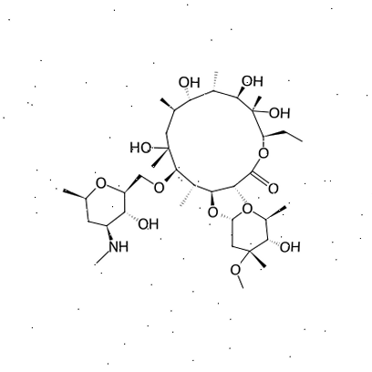 CC[C@H]1OC(=O)[C@H](C)[C@@H](O[C@H]2C[C@@](C)(OC)[C@@H](O)[C@H](C)O2)[C@H](C)[C@@H](OC[C@@H]2O[C@H](C)C[C@H](NC)[C@H]2O)[C@](C)(O)C[C@@H](C)[C@H](O)[C@H](C)[C@@H](O)[C@]1(C)O